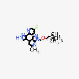 Cc1cc(-c2c[nH]nc2-c2ccc(F)cn2)c2cnn(COCC[Si](C)(C)C)c2n1